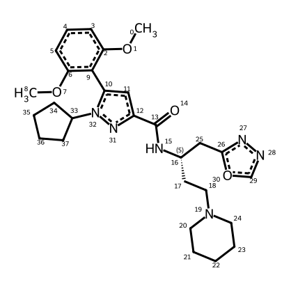 COc1cccc(OC)c1-c1cc(C(=O)N[C@@H](CCN2CCCCC2)Cc2nnco2)nn1C1CCCC1